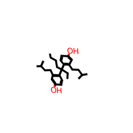 CCCCC(CC)(c1ccc(O)cc1CCC(C)C)c1ccc(O)cc1CCC(C)C